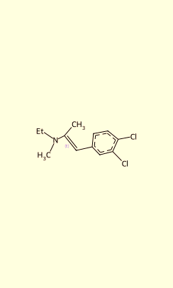 CCN(C)/C(C)=C/c1ccc(Cl)c(Cl)c1